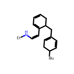 CCN/C=C\C1=CC=CCC1CC1=CCC(C(C)CC)C=C1